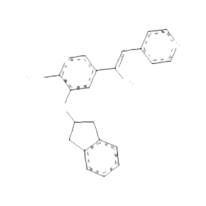 COc1ncc(/C(C#N)=C/c2ccncc2)cc1OC1Cc2ccccc2C1